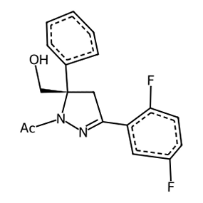 CC(=O)N1N=C(c2cc(F)ccc2F)C[C@@]1(CO)c1ccccc1